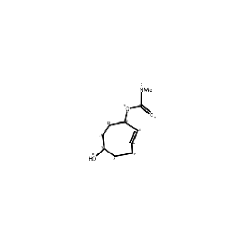 CNC(=O)OC1/C=C/CCC(O)CC1